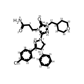 NC(=O)CCn1c(N2C[C@H](c3ccccc3)C(c3ccc(Cl)cc3)=N2)nn(CC2CCOCC2)c1=O